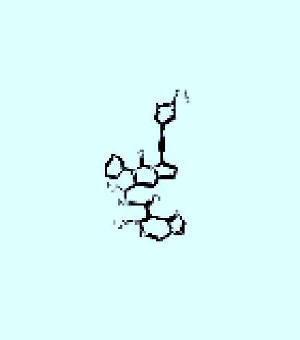 C[C@H](NC(=O)c1c(N)ncn2ccnc12)c1cc2ccc(C#Cc3cnn(C)c3)n2c(=O)n1-c1ccccc1